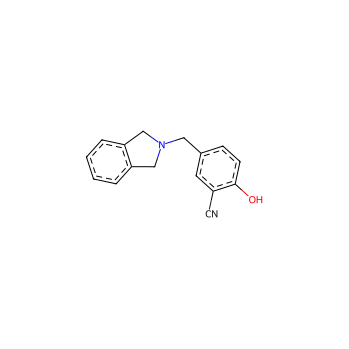 N#Cc1cc(CN2Cc3ccccc3C2)ccc1O